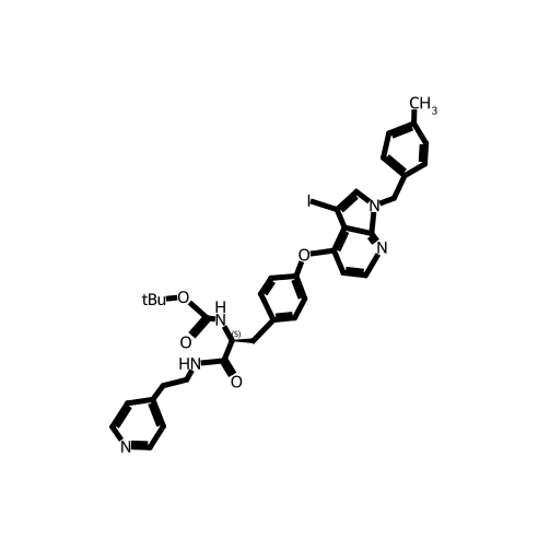 Cc1ccc(Cn2cc(I)c3c(Oc4ccc(C[C@H](NC(=O)OC(C)(C)C)C(=O)NCCc5ccncc5)cc4)ccnc32)cc1